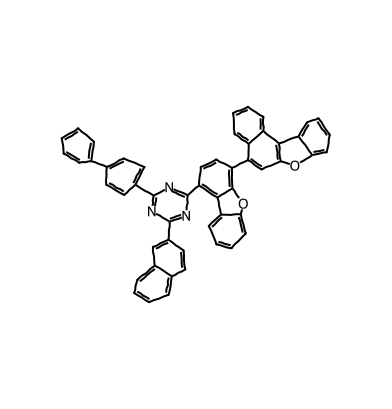 c1ccc(-c2ccc(-c3nc(-c4ccc5ccccc5c4)nc(-c4ccc(-c5cc6oc7ccccc7c6c6ccccc56)c5oc6ccccc6c45)n3)cc2)cc1